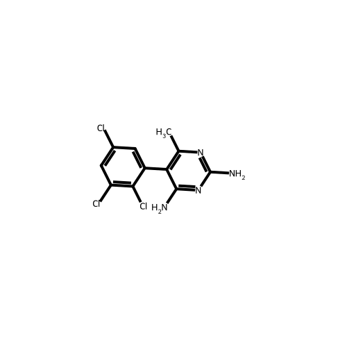 Cc1nc(N)nc(N)c1-c1cc(Cl)cc(Cl)c1Cl